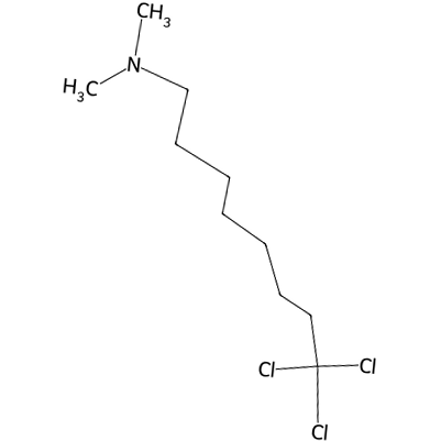 CN(C)CCCCCCCC(Cl)(Cl)Cl